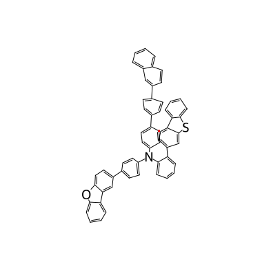 c1ccc(N(c2ccc(-c3ccc(-c4ccc5ccccc5c4)cc3)cc2)c2ccc(-c3ccc4oc5ccccc5c4c3)cc2)c(-c2ccc3c(c2)sc2ccccc23)c1